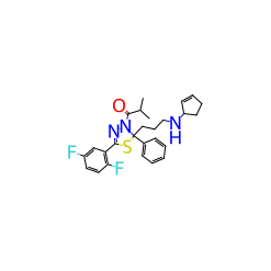 CC(C)C(=O)N1N=C(c2cc(F)ccc2F)SC1(CCCNC1C=CCC1)c1ccccc1